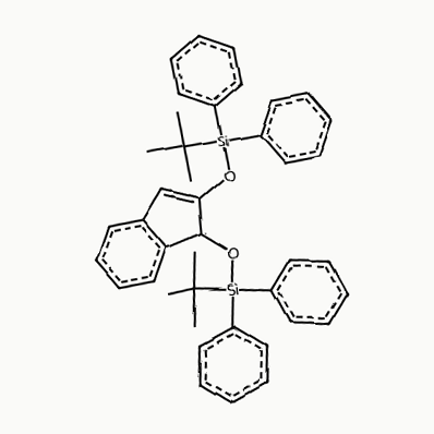 CC(C)(C)[Si](O[C]1C(O[Si](c2ccccc2)(c2ccccc2)C(C)(C)C)=Cc2ccccc21)(c1ccccc1)c1ccccc1